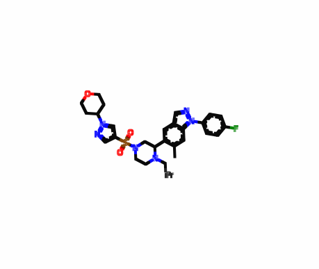 Cc1cc2c(cnn2-c2ccc(F)cc2)cc1C1CN(S(=O)(=O)c2cnn(C3CCOCC3)c2)CCN1CC(C)C